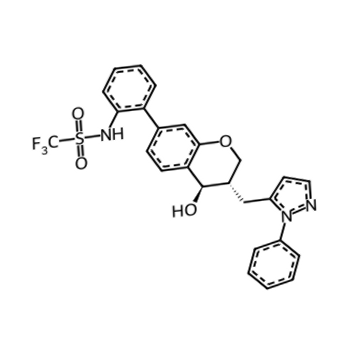 O=S(=O)(Nc1ccccc1-c1ccc2c(c1)OC[C@H](Cc1ccnn1-c1ccccc1)[C@H]2O)C(F)(F)F